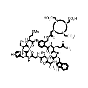 CSCC[C@H](NC(=O)[C@H](CC(C)C)NC(=O)[C@H](Cc1c[nH]cn1)NC(=O)CNC(=O)[C@@H](NC(=O)[C@H](C)NC(=O)[C@H](Cc1c[nH]c2ccccc12)NC(=O)[C@H](CCC(N)=O)NC(=O)c1ccccc1CNC(=O)CN1CCN(CC(=O)O)CCN(CC(=O)O)CCN(CC(=O)O)CC1)C(C)C)C(N)=O